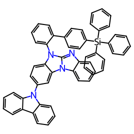 c1ccc([Si](c2ccccc2)(c2ccccc2)c2ccc(-c3ccccc3-n3c4ccc(-n5c6ccccc6c6ccccc65)cc4n4c5ccccc5nc34)cc2)cc1